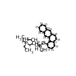 CC[PH](CC)(CC)CC.OB(O)Oc1cccc2ccc3cc4ccccc4cc3c12